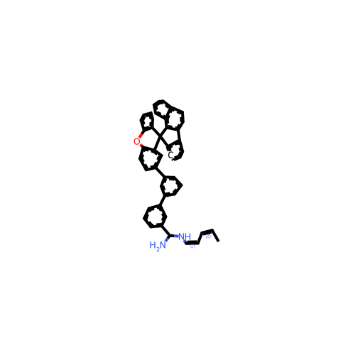 C/C=C\C=C/NC(N)c1cccc(-c2cccc(-c3ccc4c(c3)C3(c5ccccc5O4)c4ccccc4-c4ccc5ccccc5c43)c2)c1